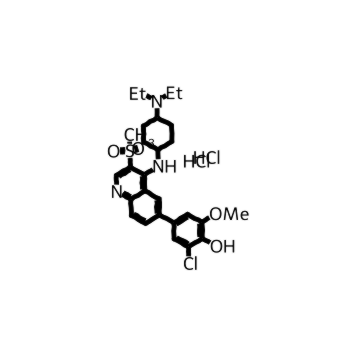 CCN(CC)C1CCC(Nc2c(S(C)(=O)=O)cnc3ccc(-c4cc(Cl)c(O)c(OC)c4)cc23)CC1.Cl.Cl